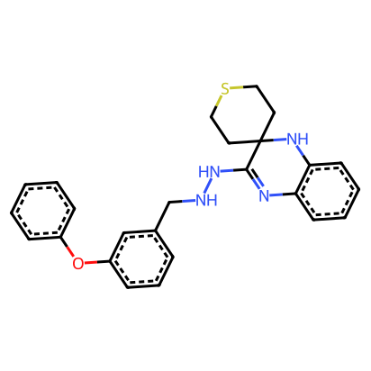 c1ccc(Oc2cccc(CNNC3=Nc4ccccc4NC34CCSCC4)c2)cc1